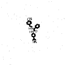 Cn1cc(-c2ccc(NC(=O)[C@H](NCCc3ccc(C#N)cc3)c3ccccc3)cc2)cn1